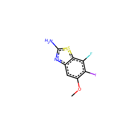 COc1cc2nc(N)sc2c(F)c1I